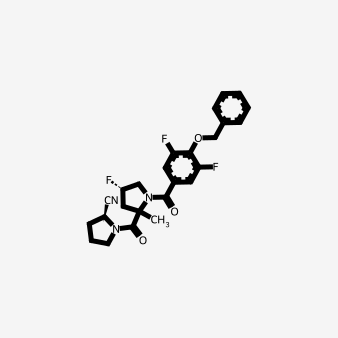 CC1(C(=O)N2CCC[C@H]2C#N)C[C@H](F)CN1C(=O)c1cc(F)c(OCc2ccccc2)c(F)c1